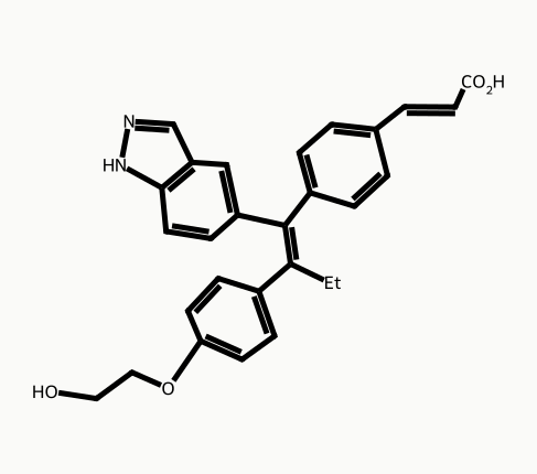 CCC(=C(c1ccc(C=CC(=O)O)cc1)c1ccc2[nH]ncc2c1)c1ccc(OCCO)cc1